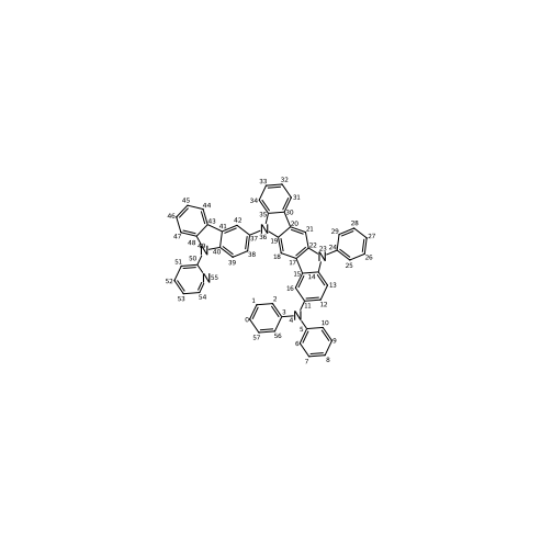 c1ccc(N(c2ccccc2)c2ccc3c(c2)c2cc4c(cc2n3-c2ccccc2)c2ccccc2n4-c2ccc3c(c2)c2ccccc2n3-c2ccccn2)cc1